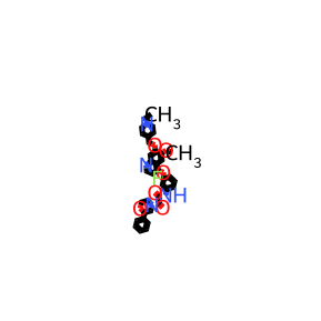 CCN1CCC(COc2cc3nccc(OC4(F)C=CC=C(NC(=O)C(=O)N5CCOC(c6ccccc6)C5)C4)c3cc2OC)CC1